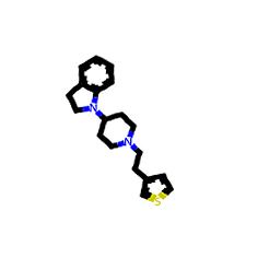 c1ccc2c(c1)CCN2C1CCN(CCc2ccsc2)CC1